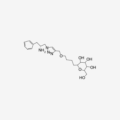 N[C@H](Cc1ccccc1)Cn1cc(COCCCCC2OC(CO)C(O)C(O)C2O)nn1